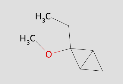 CCC1(OC)C2CC21